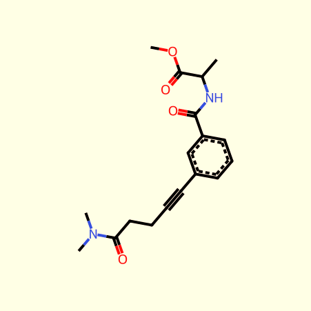 COC(=O)C(C)NC(=O)c1cccc(C#CCCC(=O)N(C)C)c1